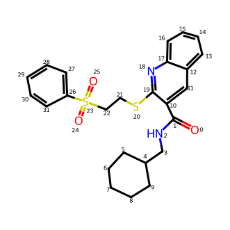 O=C(NCC1CCCCC1)c1cc2ccccc2nc1SCCS(=O)(=O)c1ccccc1